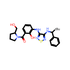 CC(C)(C)C(Nc1nsnc1Nc1cccc(C(=O)N2CCCC2CO)c1O)c1ccccc1